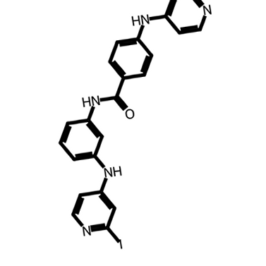 O=C(Nc1cccc(Nc2ccnc(I)c2)c1)c1ccc(Nc2ccncc2)cc1